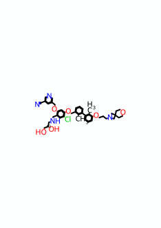 Cc1c(COc2cc(OCc3cncc(C#N)c3)c(CNC[C@H](O)CO)cc2Cl)cccc1-c1cccc(OCCCN2CC3(CCOCC3)C2)c1C